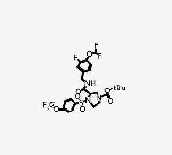 CC(C)(C)OC(=O)N1CCN(S(=O)(=O)c2ccc(OC(F)(F)F)cc2)C(C(=O)NCc2ccc(OC(F)F)c(F)c2)C1